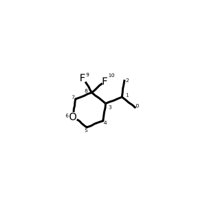 CC(C)C1CCOCC1(F)F